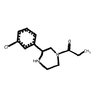 CCC(=O)N1CCNC(c2cccc(Cl)c2)C1